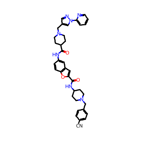 N#Cc1ccc(CN2CCC(NC(=O)c3cc4cc(NC(=O)C5CCN(Cc6cnn(-c7ccccn7)c6)CC5)ccc4o3)CC2)cc1